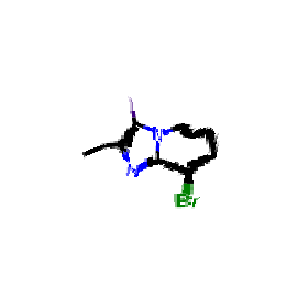 Cc1nc2c(Br)cccn2c1I